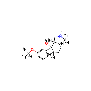 [2H]O[C@@]1(c2cccc(OC([2H])([2H])[2H])c2)C([2H])([2H])CCC[C@@]1([2H])CN(C)C([2H])([2H])[2H]